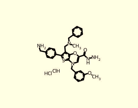 COc1cccc(CN2C=C(C(=O)NN)Oc3c2sc(-c2ccc(CN)cc2)c3CN(C)Cc2ccccc2)c1.Cl.Cl